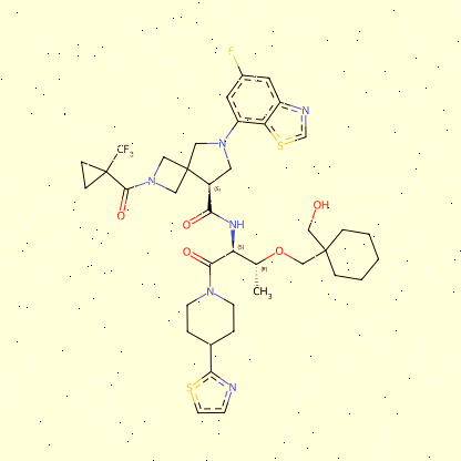 C[C@@H](OCC1(CO)CCCCC1)[C@H](NC(=O)[C@@H]1CN(c2cc(F)cc3ncsc23)CC12CN(C(=O)C1(C(F)(F)F)CC1)C2)C(=O)N1CCC(c2nccs2)CC1